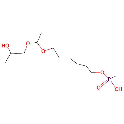 CC(O)COC(C)OCCCCCCOP(C)(=O)O